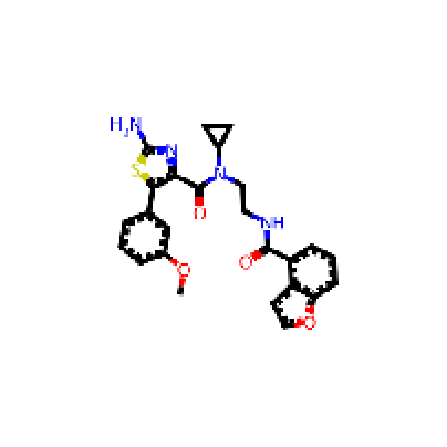 COc1cccc(-c2sc(N)nc2C(=O)N(CCNC(=O)c2cccc3occc23)C2CC2)c1